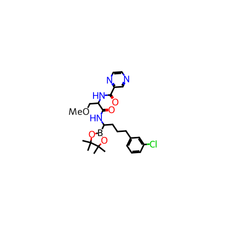 COCC(NC(=O)c1cnccn1)C(=O)NC(CCCc1cccc(Cl)c1)B1OC(C)(C)C(C)(C)O1